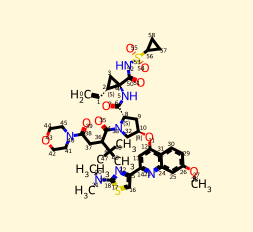 C=C[C@@H]1C[C@]1(NC(=O)[C@@H]1C[C@@H](Oc2cc(-c3csc(N(C)C)n3)nc3cc(OC)ccc23)CN1C(=O)C(CC(=O)N1CCOCC1)C(C)(C)C)C(=O)NS(=O)(=O)C1CC1